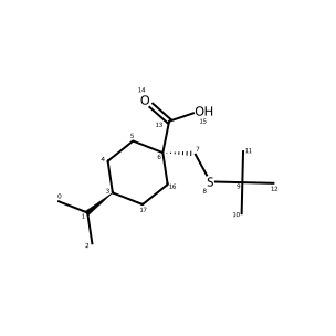 CC(C)[C@H]1CC[C@@](CSC(C)(C)C)(C(=O)O)CC1